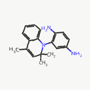 CC1=CC(C)(C)N(c2cc(N)ccc2N)c2ccccc21